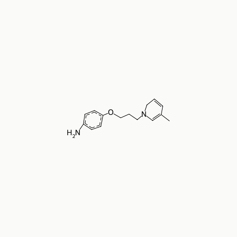 CC1=CN(CCCOc2ccc(N)cc2)CC=C1